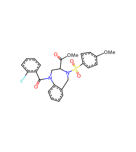 COC(=O)C1CN(C(=O)c2ccccc2F)c2ccccc2CN1S(=O)(=O)c1ccc(OC)cc1